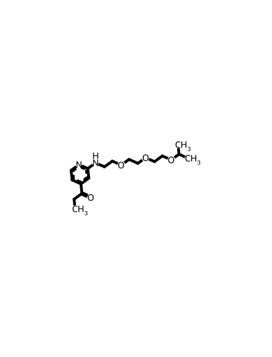 CCC(=O)c1ccnc(NCCOCCOCCOC(C)C)c1